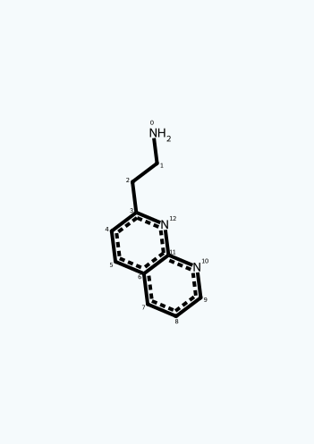 NCCc1ccc2cccnc2n1